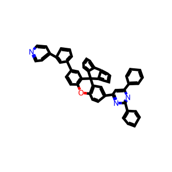 c1ccc(-c2cc(-c3ccc4c(c3)C3(c5cc(-c6cccc(-c7ccncc7)c6)ccc5O4)c4ccccc4-c4ccccc43)nc(-c3ccccc3)n2)cc1